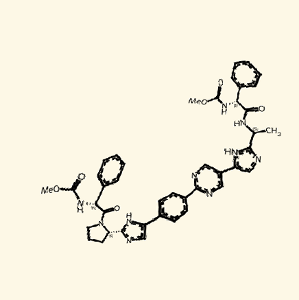 COC(=O)N[C@@H](C(=O)N[C@@H](C)c1ncc(-c2cnc(-c3ccc(-c4cnc([C@@H]5CCCN5C(=O)[C@H](NC(=O)OC)c5ccccc5)[nH]4)cc3)nc2)[nH]1)c1ccccc1